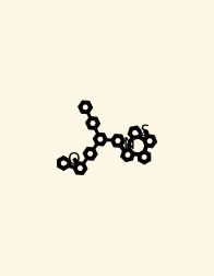 c1ccc(-c2ccc(-c3cc(-c4ccc(-c5cccc6c5oc5ccccc56)cc4)cc(-c4ccc5c(c4)c4cccc6c7ccccc7c7cccc8sc9cccc(c9c87)n5c64)c3)cc2)cc1